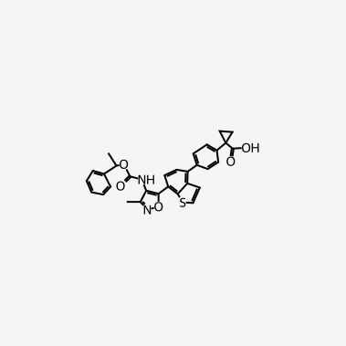 Cc1noc(-c2ccc(-c3ccc(C4(C(=O)O)CC4)cc3)c3ccsc23)c1NC(=O)OC(C)c1ccccc1